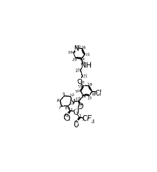 O=C(OC(=O)C(F)(F)F)C1CCCCN1C(=O)c1cc(Cl)cc(OCCNc2ccncc2)c1